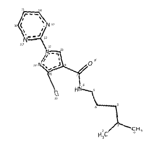 CC(C)CCCNC(=O)c1cn(-c2ncccn2)nc1Cl